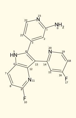 Nc1cc(-c2[nH]c3ccc(F)nc3c2-c2cc(F)ccn2)ccn1